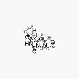 CCC1(c2ccccc2)C(=O)NC(=O)N(CN2CCOCC2)C1=O